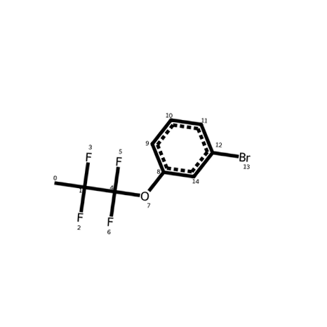 CC(F)(F)C(F)(F)Oc1cccc(Br)c1